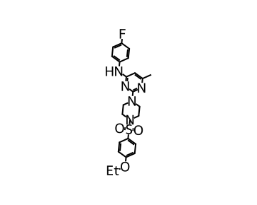 CCOc1ccc(S(=O)(=O)N2CCN(c3nc(C)cc(Nc4ccc(F)cc4)n3)CC2)cc1